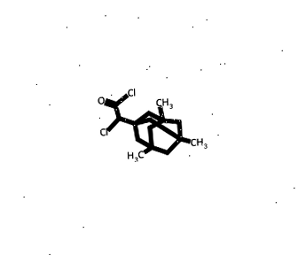 CC12CC3(C)CC(C)(C1)CC(C(Cl)C(=O)Cl)(C2)C3